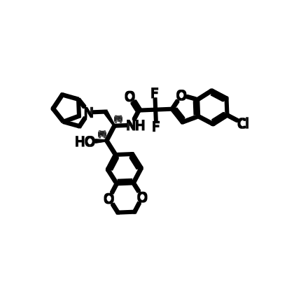 O=C(N[C@H](CN1CC2CCC1C2)[C@H](O)c1ccc2c(c1)OCCO2)C(F)(F)c1cc2cc(Cl)ccc2o1